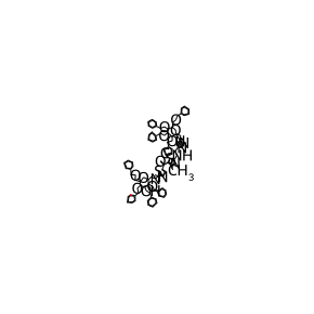 Cc1nc(NCc2cn(CC3OC(COCc4ccccc4)C(OCc4ccccc4)C(OCc4ccccc4)C3OCc3ccccc3)nn2)sc1C(=O)c1cnc(NCC2OC(COCc3ccccc3)C(OCc3ccccc3)C(OCc3ccccc3)C2OCc2ccccc2)s1